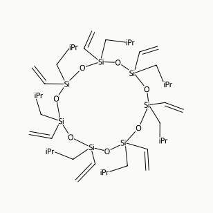 C=C[Si]1(CC(C)C)O[Si](C=C)(CC(C)C)O[Si](C=C)(CC(C)C)O[Si](C=C)(CC(C)C)O[Si](C=C)(CC(C)C)O[Si](C=C)(CC(C)C)O[Si](C=C)(CC(C)C)O1